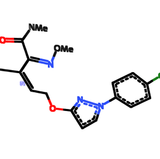 CNC(=O)C(=NOC)/C(C)=C\COc1ccn(-c2ccc(Cl)cc2)n1